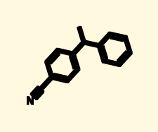 CC(c1ccccc1)c1ccc(C#N)cc1